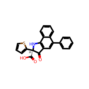 O=C(O)[C@]1(c2cccs2)Nc2c(cc(-c3ccccc3)c3ccccc23)C1=O